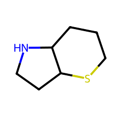 C1CSC2CCNC2C1